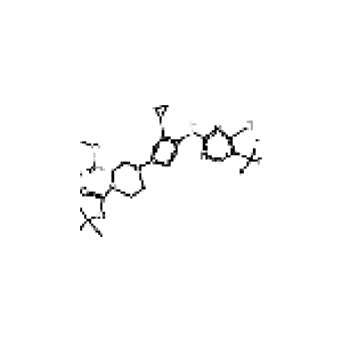 COC(=O)[C@@H]1CN(c2ccc(Nc3ncc(C(F)(F)F)c(Cl)n3)c(C3CC3)c2)CCN1C(=O)OC(C)(C)C